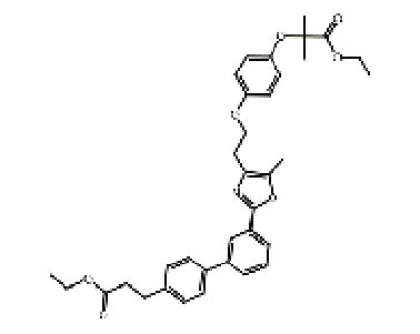 CCOC(=O)CCc1ccc(-c2cccc(-c3nc(CCOc4ccc(OC(C)(C)C(=O)OCC)cc4)c(C)o3)c2)cc1